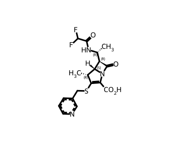 C[C@@H](NC(=O)C(F)F)[C@H]1C(=O)N2C(C(=O)O)=C(SCc3cccnc3)[C@H](C)[C@H]12